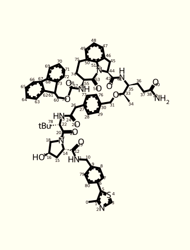 Cc1ncsc1-c1ccc(CNC(=O)[C@@H]2C[C@@H](O)CN2C(=O)[C@@H](NC(=O)Cc2ccc(CO[C@H](C)[C@H](CCC(N)=O)NC(=O)[C@@H]3Cc4cccc5c4N3C(=O)[C@@H](NC(=O)OCC3c4ccccc4-c4ccccc43)CC5)cc2)C(C)(C)C)cc1